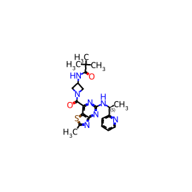 Cc1nc2nc(N[C@@H](C)c3ccccn3)nc(C(=O)N3CC(NC(=O)C(C)(C)C)C3)c2s1